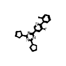 Cc1ccccc1-c1ncc(-c2nc(C3CCCC3)nc(C3CCCC3)n2)cc1F